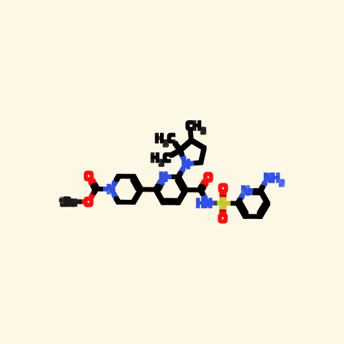 CC1CCN(c2nc(C3=CCN(C(=O)OC(C)(C)C)CC3)ccc2C(=O)NS(=O)(=O)c2cccc(N)n2)C1(C)C